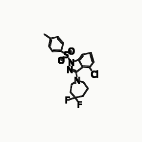 Cc1ccc(S(=O)(=O)n2nc(N3CCCC(F)(F)CC3)c3c(Cl)cccc32)cc1